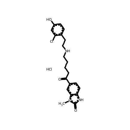 Cl.Cn1c(=O)[nH]c2ccc(C(=O)CCCCNCCc3ccc(O)cc3Cl)cc21